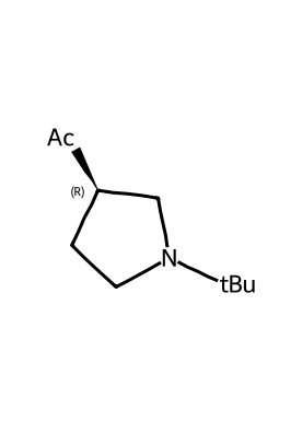 CC(=O)[C@@H]1CCN(C(C)(C)C)C1